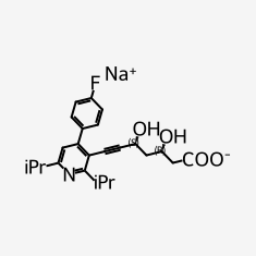 CC(C)c1cc(-c2ccc(F)cc2)c(C#C[C@@H](O)C[C@@H](O)CC(=O)[O-])c(C(C)C)n1.[Na+]